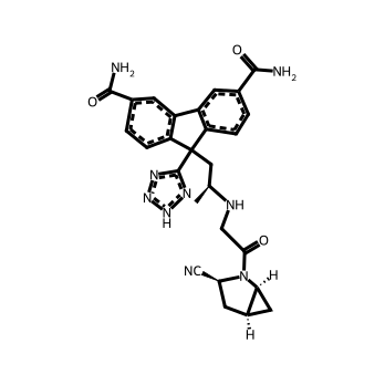 C[C@@H](CC1(c2nn[nH]n2)c2ccc(C(N)=O)cc2-c2cc(C(N)=O)ccc21)NCC(=O)N1[C@H](C#N)C[C@@H]2C[C@@H]21